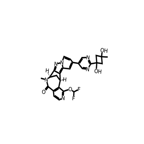 CN1C(=O)c2ccnc(OC(F)F)c2[C@H]2C[C@@H]1c1nn3ccc(-c4cnc(C5(O)CC(C)(O)C5)nc4)cc3c12